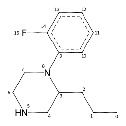 CCCC1CNCCN1c1ccccc1F